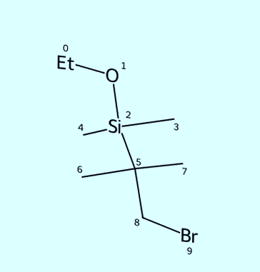 CCO[Si](C)(C)C(C)(C)CBr